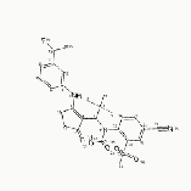 CC(C)(C)C(C1=C(Nc2cccc(C(F)F)c2)CCC1=O)N(C(=O)O)c1ccc(C#N)cc1S(C)(=O)=O